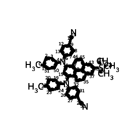 Cc1ccc(N(c2ccc(C#N)cc2)c2cc(N(c3ccc(C)cc3)c3ccc(C#N)cc3)c3ccc4cc([Si](C)(C)C)cc5ccc2c3c54)cc1